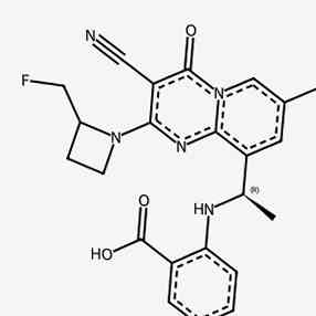 Cc1cc([C@@H](C)Nc2ccccc2C(=O)O)c2nc(N3CCC3CF)c(C#N)c(=O)n2c1